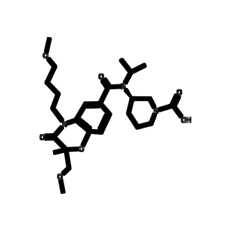 COCCCCN1C(=O)C(C)(COC)Oc2ccc(C(=O)N(C(C)C)[C@@H]3CCCN(C(=O)O)C3)cc21